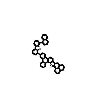 C1=Cc2cccc3c2c(cc2c4ccc5c6ccc(-c7cccc8c7sc7c(-c9cccc%10ccccc9%10)cccc78)cc6c6ccccc6c5c4sc32)C1